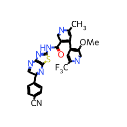 COc1cnc(C(F)(F)F)cc1-c1cc(C)ncc1C(=O)Nc1nc2ncc(-c3ccc(C#N)cc3)nc2s1